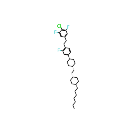 CCCCCCC[C@H]1CC[C@H](CC[C@H]2CC[C@H](c3ccc(CCc4cc(F)c(Cl)c(F)c4)c(F)c3)CC2)CC1